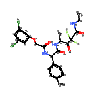 COc1ccc(C(NC(=O)COc2cc(Cl)cc(Cl)c2)C(=O)N[C@H](C(=O)C(F)(F)C(=O)NCC(F)(F)F)C(C)C)cc1